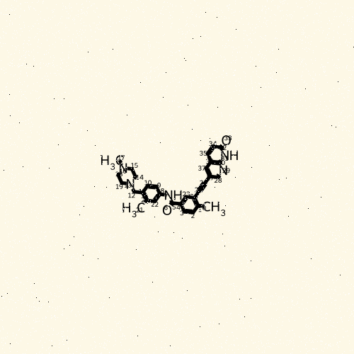 Cc1ccc(C(=O)Nc2ccc(CN3CCN(C)CC3)c(C)c2)cc1C#Cc1cnc2[nH]c(=O)ccc2c1